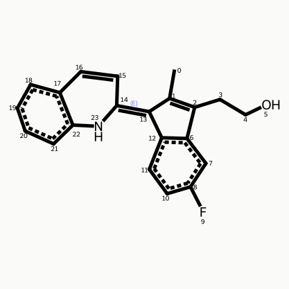 CC1=C(CCO)c2cc(F)ccc2/C1=C1/C=Cc2ccccc2N1